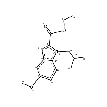 CCOC(=O)c1nc2cc(OC)ccc2n1CC(C)C